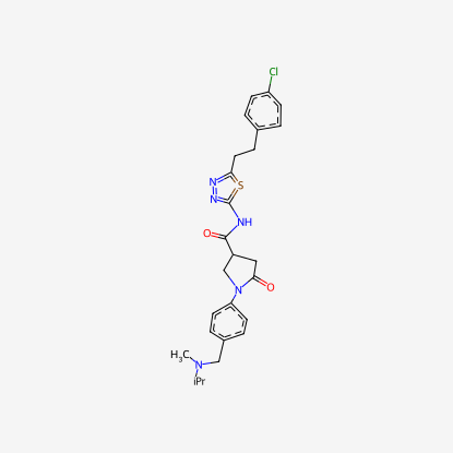 CC(C)N(C)Cc1ccc(N2CC(C(=O)Nc3nnc(CCc4ccc(Cl)cc4)s3)CC2=O)cc1